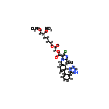 CCCCc1nc(Cl)c(C(=O)OCC(=O)OCCCC[C@H](CO[N+](=O)[O-])O[N+](=O)[O-])n1Cc1ccc(-c2ccccc2-c2nnn[nH]2)cc1